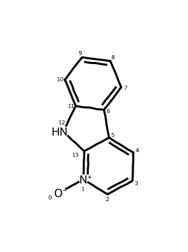 [O-][n+]1cccc2c3ccccc3[nH]c21